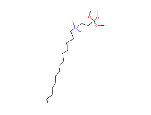 CCCCCCCCCCCCCC[N+](C)(C)CC[Si](OC)(OC)OC